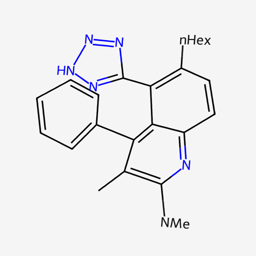 CCCCCCc1ccc2nc(NC)c(C)c(-c3ccccc3)c2c1-c1nn[nH]n1